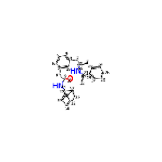 C[C@H](Cc1cccc(CC(=O)NC2=C3C=C4C=C2C43)c1)N[C@H](C)c1ccccc1